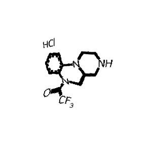 Cl.O=C(N1CC2CNCCN2c2ccccc21)C(F)(F)F